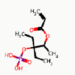 C=CC(=O)OC(C)C(CC)(CC)OP(=O)(O)O